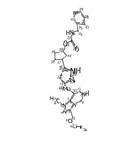 COCc1nn(C)c2c1=CNCC=2Nc1cc(C2CCC(OC(=O)NCc3cccnc3)C2)[nH]n1